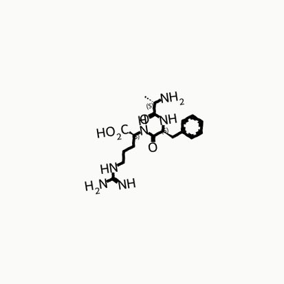 C[C@H](N)C(=O)N[C@@H](Cc1ccccc1)C(=O)N[C@@H](CCCNC(=N)N)C(=O)O